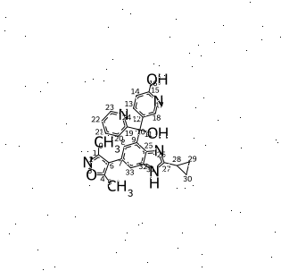 Cc1noc(C)c1-c1cc(C(O)(c2ccc(O)nc2)c2ccccn2)c2nc(C3CC3)[nH]c2c1